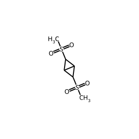 CS(=O)(=O)C1C2C1C2S(C)(=O)=O